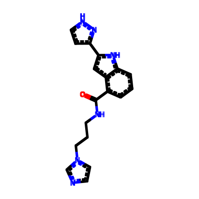 O=C(NCCCn1ccnc1)c1cccc2[nH]c(-c3cc[nH]n3)cc12